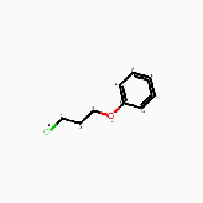 ClCCCOC1=CC=C=C=C1